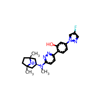 CN(c1ccc(-c2ccc(-n3cc(F)cn3)cc2O)nn1)[C@H]1C[C@]2(C)CC[C@](C)(C1)N2